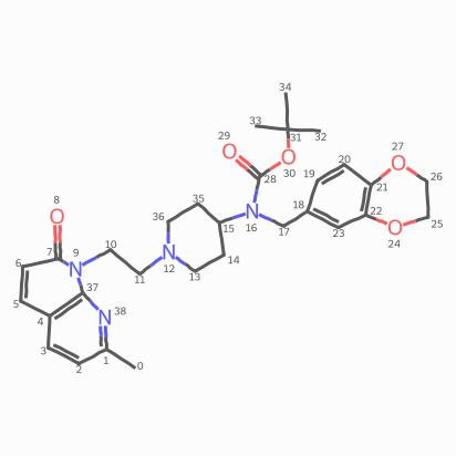 Cc1ccc2ccc(=O)n(CCN3CCC(N(Cc4ccc5c(c4)OCCO5)C(=O)OC(C)(C)C)CC3)c2n1